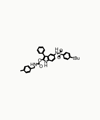 Cc1ccc(CNC(=O)Oc2[nH]c3ccc(NS(=O)(=O)c4ccc(C(C)(C)C)cc4)cc3c2-c2ccccc2)cc1